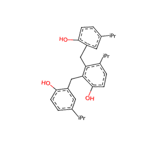 CC(C)c1ccc(O)c(Cc2c(O)ccc(C(C)C)c2Cc2cc(C(C)C)ccc2O)c1